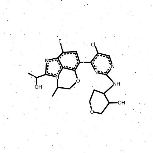 CC(O)c1nc2c(F)cc(-c3nc(NC4CCOCC4O)ncc3Cl)c3c2n1C(C)CO3